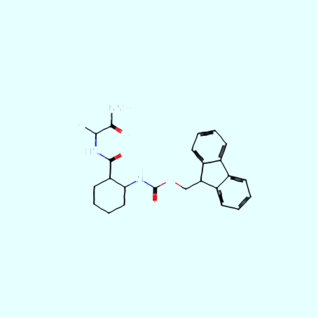 CNC(=O)C(C)NC(=O)C1CCCCC1NC(=O)OCC1c2ccccc2-c2ccccc21